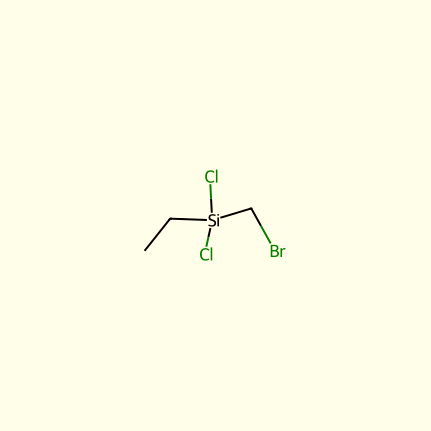 CC[Si](Cl)(Cl)CBr